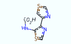 O=C(O)Nc1scnc1-c1cscn1